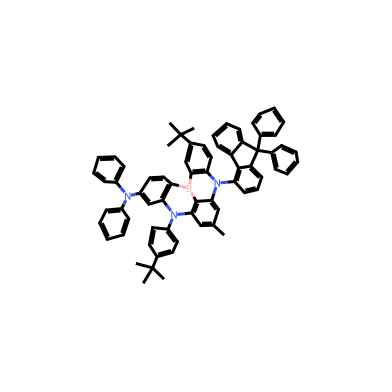 Cc1cc2c3c(c1)N(c1cccc4c1-c1ccccc1C4(c1ccccc1)c1ccccc1)c1ccc(C(C)(C)C)cc1B3c1ccc(N(c3ccccc3)c3ccccc3)cc1N2c1ccc(C(C)(C)C)cc1